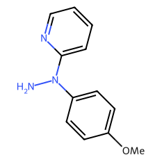 COc1ccc(N(N)c2ccccn2)cc1